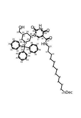 CCCCCCCCCCCCCCCCCCCCCCNC(=O)c1cn([C@@H]2C[C@H](CO)CN(C(c3ccccc3)(c3ccccc3)c3ccccc3)C2)c(=O)[nH]c1=O